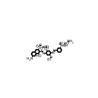 CCOc1cc(N=Nc2c(S(=O)(=O)ON)cc3ccc(N)cc3c2O)c(OCC)cc1N=Nc1cccc([PH](=O)NOON)c1